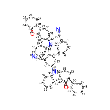 N#Cc1cc(-c2cccc(C#N)c2-n2c3ccccc3c3c4oc5ccccc5c4ccc32)cc(-n2c3ccccc3c3c4oc5ccccc5c4ccc32)c1